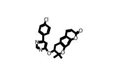 CC1(C)Oc2cc3oc(=O)ccc3cc2CC1Oc1cc(-c2ccc(Cl)cc2)ncn1